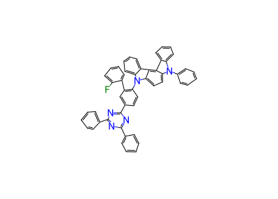 Fc1ccccc1-c1cc(-c2nc(-c3ccccc3)nc(-c3ccccc3)n2)ccc1-n1c2ccccc2c2c3c4ccccc4n(-c4ccccc4)c3ccc21